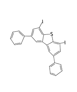 Ic1cc(-c2ccccc2)cc2c1sc1c(I)cc(-c3ccccc3)cc12